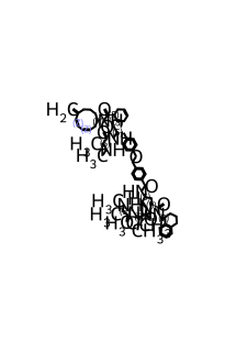 C=C1/C=C\C=C/C[C@H](NC(=O)[C@H]2CC=CC[C@@H]2C(=O)[C@H](Cc2ccc(OCc3ccc(C(=O)N[C@H]4C[C@@H](C(=O)N[C@@H]5CCCc6ccccc65)N(C(=O)[C@@H](NC(=O)[C@H](C)NC)C(C)(C)C)C4)cc3)cc2)NC(=O)[C@H](C)NC)CCC1